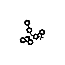 C[Si]1(C)c2ccccc2-c2cc(N(c3ccc(-c4ccccc4)cc3)c3cc4ccccc4c4ccccc34)ccc21